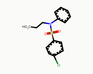 O=C(O)CCN(c1ccccc1)S(=O)(=O)c1ccc(Cl)cc1